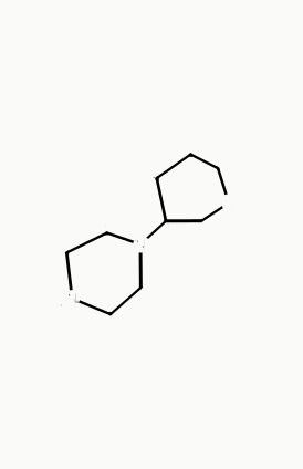 C1CSCC(N2CC[N]CC2)C1